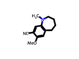 COc1cc2c(cc1C#N)N(C)CCCC2